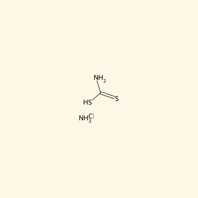 N.NC(=S)S.[C]